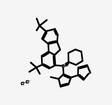 CC1C=CC(c2ccsc2)=[C]1[Zr+2](=[C]1CCCCC1)[c]1cc(C(C)(C)C)cc2c1Cc1ccc(C(C)(C)C)cc1-2.[Cl-].[Cl-]